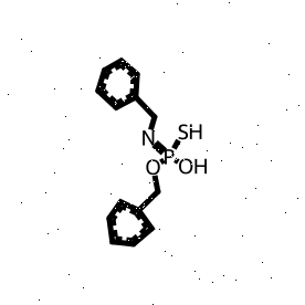 OP(S)(=NCc1ccccc1)OCc1ccccc1